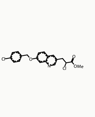 COC(=O)C(Cl)Cc1cnc2cc(OCc3ccc(Cl)cc3)ccc2c1